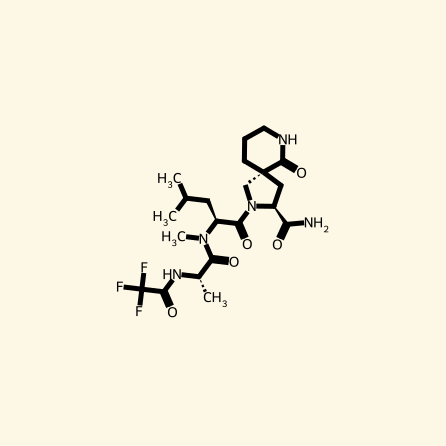 CC(C)C[C@@H](C(=O)N1C[C@@]2(CCCNC2=O)C[C@H]1C(N)=O)N(C)C(=O)[C@H](C)NC(=O)C(F)(F)F